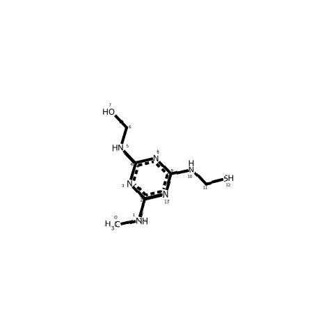 CNc1nc(NCO)nc(NCS)n1